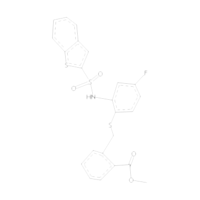 COC(=O)c1ccccc1CSc1ccc(F)cc1NS(=O)(=O)c1cc2ccccc2s1